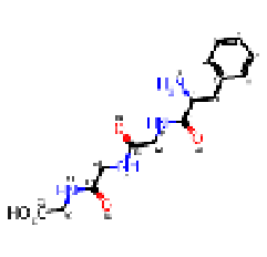 N[C@@H](Cc1ccccc1)C(=O)NCC(=O)NCC(=O)NCC(=O)O